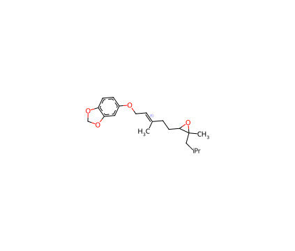 C/C(=C\COc1ccc2c(c1)OCO2)CCC1OC1(C)CC(C)C